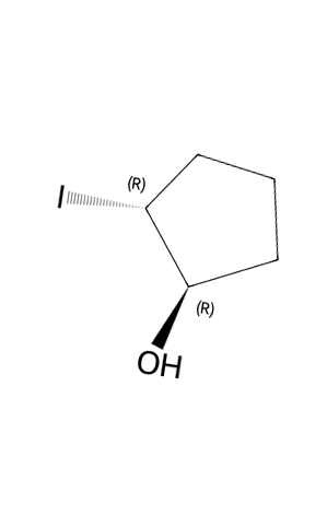 O[C@@H]1CCC[C@H]1I